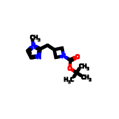 Cn1ccnc1CC1CN(C(=O)OC(C)(C)C)C1